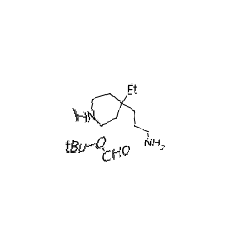 CC(C)(C)OC=O.CCC1(CCCN)CCNCC1